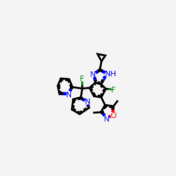 Cc1noc(C)c1-c1cc(C(F)(c2ccccn2)c2ccccn2)c2nc(C3CC3)[nH]c2c1F